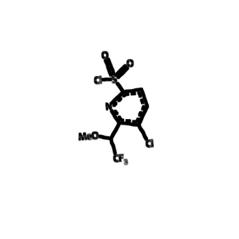 COC(c1nc(S(=O)(=O)Cl)ccc1Cl)C(F)(F)F